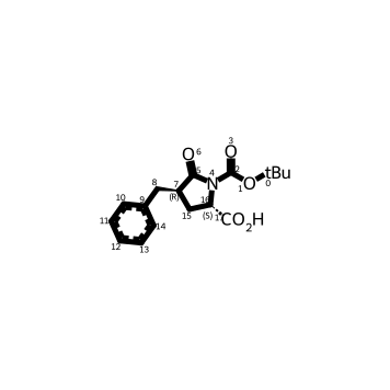 CC(C)(C)OC(=O)N1C(=O)[C@H](Cc2ccccc2)C[C@H]1C(=O)O